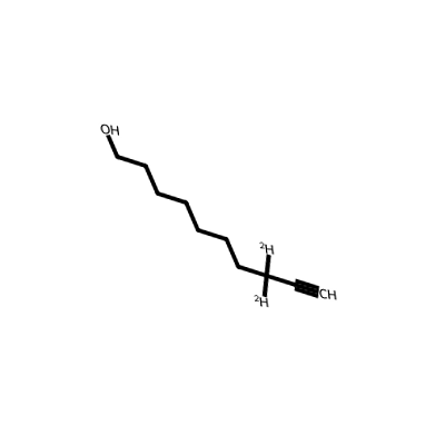 [2H]C([2H])(C#C)CCCCCCCO